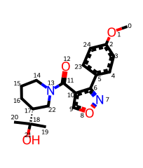 COc1ccc(-c2nocc2C(=O)N2CCC[C@@H](C(C)(C)O)C2)cc1